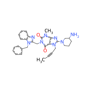 CC#CCn1c(N2CCCC(N)C2)nc2c1c(=O)n(Cc1nc3ccccc3n1Cc1ccccc1)c(=O)n2C